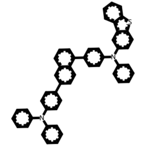 c1ccc(N(c2ccccc2)c2ccc(-c3ccc4c(-c5ccc(N(c6ccccc6)c6ccc7sc8ccccc8c7c6)cc5)cccc4c3)cc2)cc1